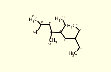 CCC(CC)CC(CC)C(C)CC(C)F